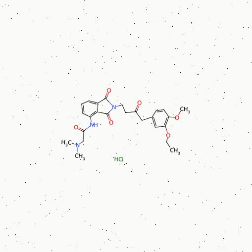 CCOc1cc(CC(=O)CCN2C(=O)c3cccc(NC(=O)CN(C)C)c3C2=O)ccc1OC.Cl